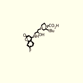 CC(C)(C)C1CN(CC(O)CNc2cc(=O)oc3cc(F)ccc23)CCN1C(=O)O